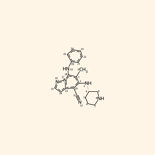 Cc1c(N[C@H]2CCCNC2)c(C#N)c2ccnn2c1Nc1ccccc1